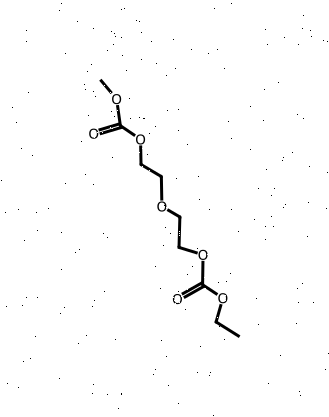 CCOC(=O)OCCOCCOC(=O)OC